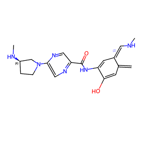 C=c1cc(O)c(NC(=O)c2cnc(N3CC[C@@H](NC)C3)cn2)c/c1=C/NC